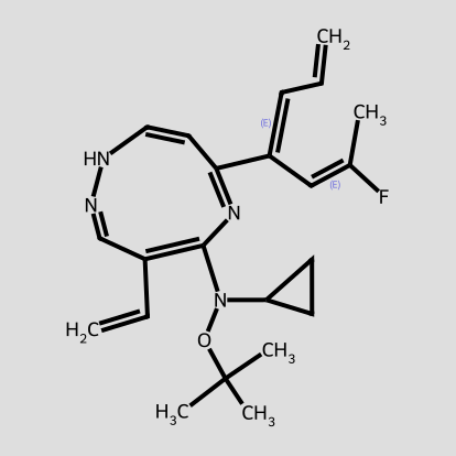 C=C/C=C(\C=C(/C)F)c1cc[nH]ncc(C=C)c(N(OC(C)(C)C)C2CC2)n1